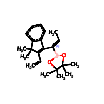 C=CC1=C(/C(=C\C)B2OC(C)(C)C(C)(C)O2)c2ccccc2C1(C)C